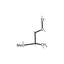 [CH2]OC(C)COCC